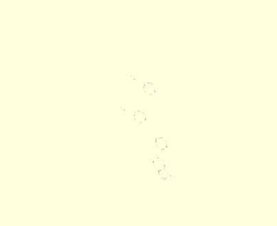 Cc1nc2cc(-c3cccc(COc4cc(OCc5cncc(C#N)c5)c(CN5CCCCC5)cc4Cl)c3C)ccc2o1